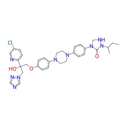 CCC(C)N1NCN(c2ccc(N3CCN(c4ccc(OCC(O)(Cn5cncn5)c5ccc(Cl)cn5)cc4)CC3)cc2)C1=O